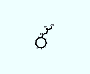 O=C(CO)CNC1CCCCCCCC1